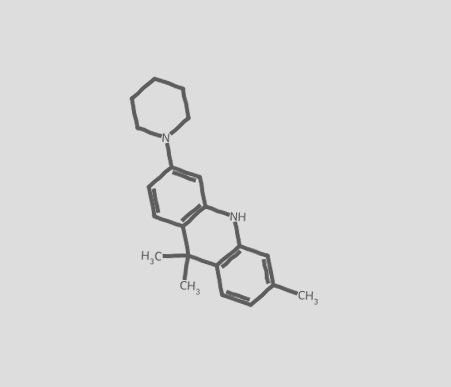 Cc1ccc2c(c1)Nc1cc(N3CCCCC3)ccc1C2(C)C